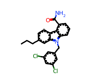 CCCc1c[c]c2c3c(C(N)=O)cccc3n(Cc3cc(Cl)cc(Cl)c3)c2c1